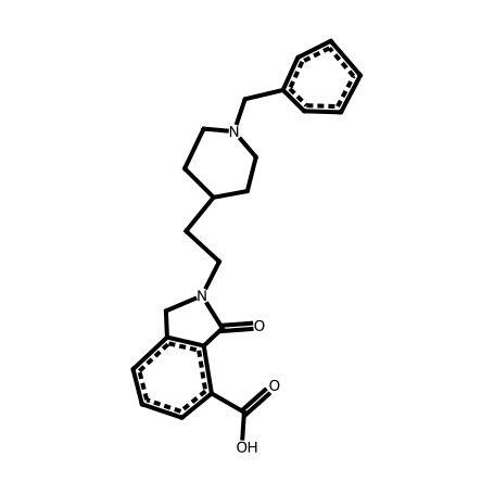 O=C(O)c1cccc2c1C(=O)N(CCC1CCN(Cc3ccccc3)CC1)C2